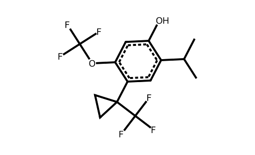 CC(C)c1cc(C2(C(F)(F)F)CC2)c(OC(F)(F)F)cc1O